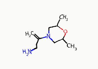 C=C(CN)N1CC(C)OC(C)C1